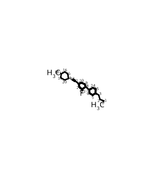 CCCCc1ccc(-c2ccc(C#C[C@H]3CC[C@H](C)CC3)cc2F)cc1